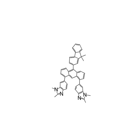 Cc1nc2ccc(-c3cccc4c(-c5ccc6c(c5)C(C)(C)c5ccccc5-6)c5cccc(-c6ccc7nc(C)n(C)c7c6)c5cc34)cc2n1C